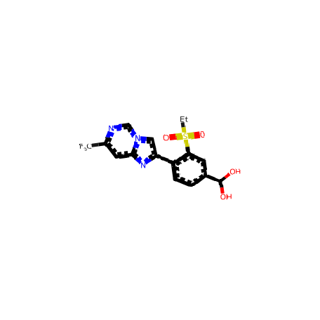 CCS(=O)(=O)c1cc(C(O)O)ccc1-c1cn2cnc(C(F)(F)F)cc2n1